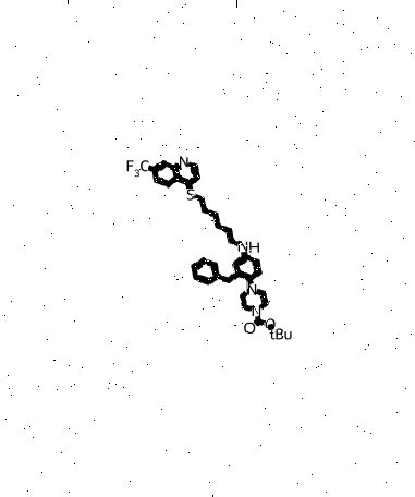 CC(C)(C)OC(=O)N1CCN(c2ccc(NCCCCCCSc3ccnc4cc(C(F)(F)F)ccc34)cc2Cc2ccccc2)CC1